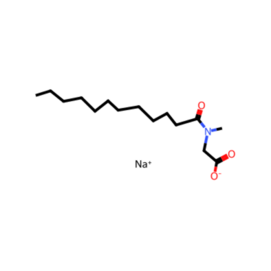 CCCCCCCCCCCC(=O)N(C)CC(=O)[O-].[Na+]